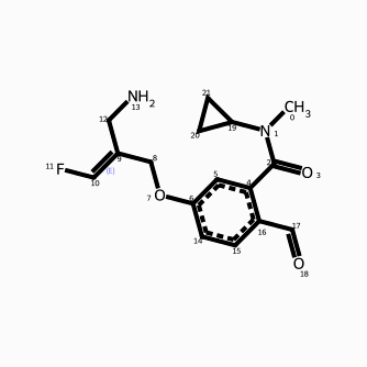 CN(C(=O)c1cc(OC/C(=C/F)CN)ccc1C=O)C1CC1